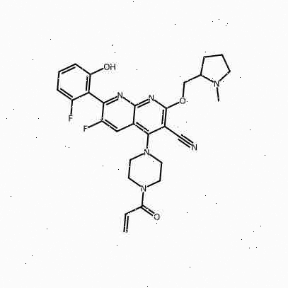 C=CC(=O)N1CCN(c2c(C#N)c(OCC3CCCN3C)nc3nc(-c4c(O)cccc4F)c(F)cc23)CC1